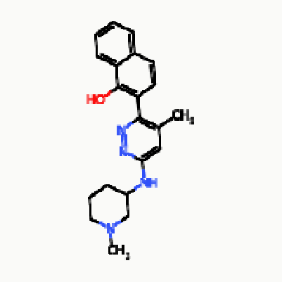 Cc1cc(NC2CCCN(C)C2)nnc1-c1ccc2ccccc2c1O